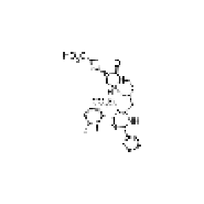 CCOC(=O)C1=C(CN2CCN3C(=O)N(C45CC(C(=O)O)(C4)C5)C[C@@H]3C2)NC(c2nccs2)=N[C@H]1c1cccc(F)c1C